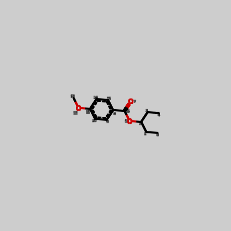 CCC(CC)OC(=O)c1ccc(OC)cc1